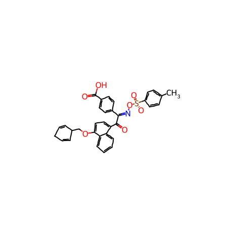 Cc1ccc(S(=O)(=O)O/N=C(/C(=O)c2ccc(OCC3C=CCC=C3)c3ccccc23)c2ccc(C(=O)O)cc2)cc1